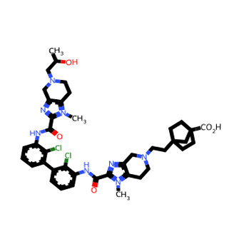 CC(O)CN1CCc2c(nc(C(=O)Nc3cccc(-c4cccc(NC(=O)c5nc6c(n5C)CCN(CCC57CCC(C(=O)O)(CC5)C7)C6)c4Cl)c3Cl)n2C)C1